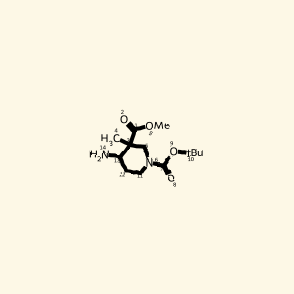 COC(=O)C1(C)CN(C(=O)OC(C)(C)C)CCC1N